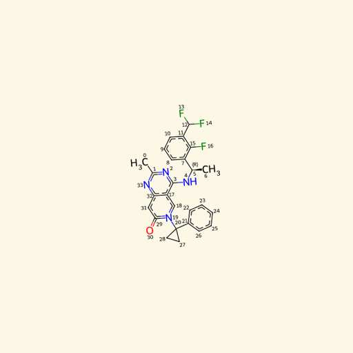 Cc1nc(N[C@H](C)c2cccc(C(F)F)c2F)c2cn(C3(c4ccccc4)CC3)c(=O)cc2n1